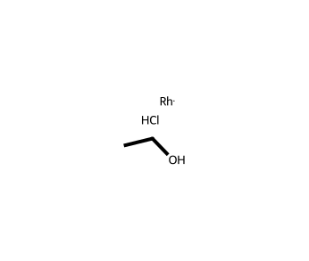 CCO.Cl.[Rh]